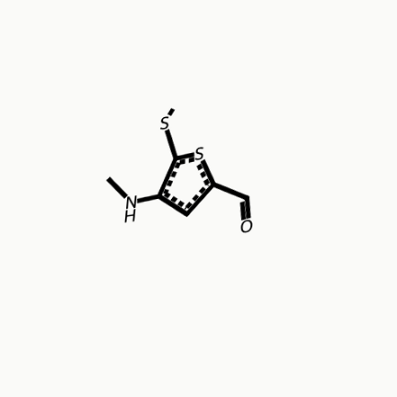 CNc1cc(C=O)sc1SC